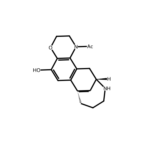 CC(=O)N1CCOc2c(O)cc3c(c21)C[C@@H]1NCCC[C@]32CCCCC12